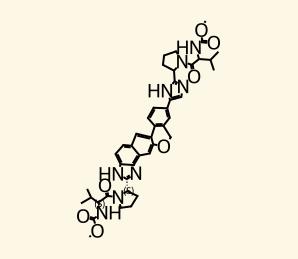 COC(=O)NC(C(=O)N1CCCC1c1ncc(-c2ccc3c(c2)COc2cc4c(ccc5[nH]c([C@@H]6CCCN6C(=O)[C@@H](NC(=O)OC)C(C)C)nc54)cc2-3)[nH]1)C(C)C